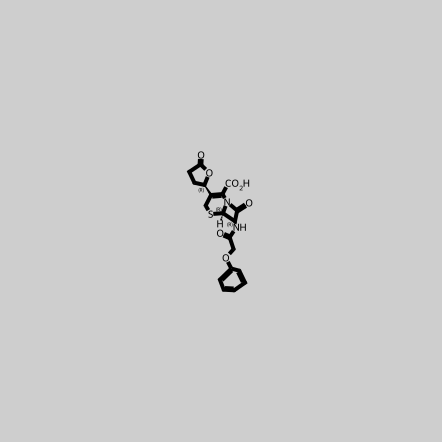 O=C(COc1ccccc1)N[C@@H]1C(=O)N2C(C(=O)O)=C([C@H]3CCC(=O)O3)CS[C@H]12